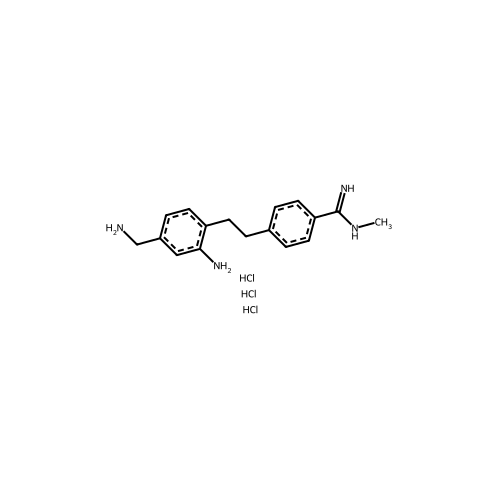 CNC(=N)c1ccc(CCc2ccc(CN)cc2N)cc1.Cl.Cl.Cl